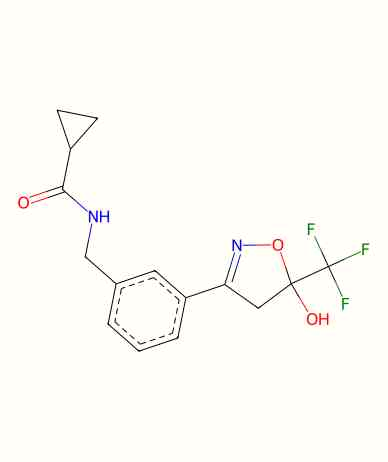 O=C(NCc1cccc(C2=NOC(O)(C(F)(F)F)C2)c1)C1CC1